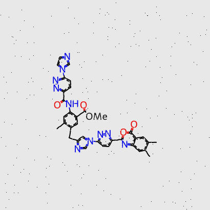 COC(=O)c1cc(Cc2cn(-c3ccc(-c4nc5cc(C)c(C)cc5c(=O)o4)nn3)cn2)c(C)cc1NC(=O)c1ccc(-n2ccnc2)nn1